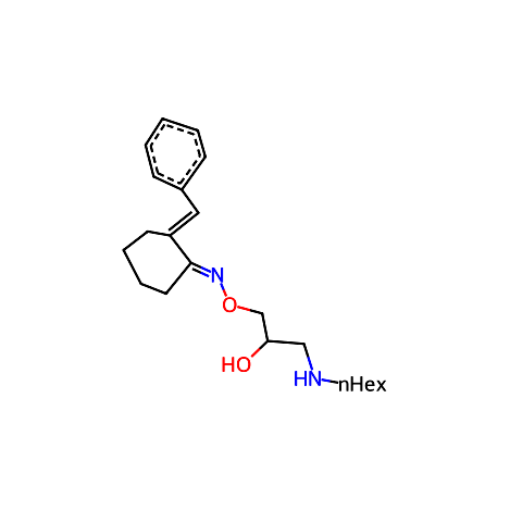 CCCCCCNCC(O)CO/N=C1\CCCC\C1=C/c1ccccc1